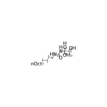 CCCCCCCCCCCCNC(=O)NC(O)(O)C(C)O